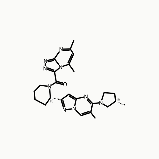 Cc1cc(C)n2c(C(=O)N3CCCC[C@H]3c3cc4nc(N5CC[C@H](C)C5)c(C)cn4n3)nnc2n1